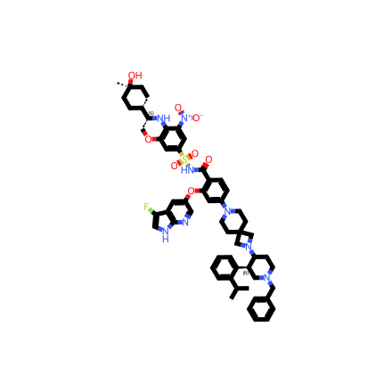 CC(C)c1ccccc1[C@@H]1CN(Cc2ccccc2)CCC1N1CC2(CCN(c3ccc(C(=O)NS(=O)(=O)c4cc5c(c([N+](=O)[O-])c4)N[C@@H]([C@H]4CC[C@](C)(O)CC4)CO5)c(Oc4cnc5[nH]cc(F)c5c4)c3)CC2)C1